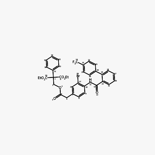 CCOC(=O)C(COC(=O)Cc1ccc(NC(=O)c2ccccc2-c2ccc(C(F)(F)F)cc2)c(Br)c1)(C(=O)OCC)c1ccccc1